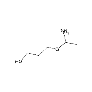 CC(N)OCCCO